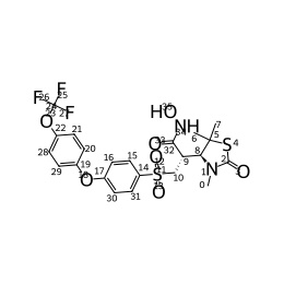 CN1C(=O)SC(C)(C)[C@@H]1[C@H](CS(=O)(=O)c1ccc(Oc2ccc(OC(F)(F)F)cc2)cc1)C(=O)NO